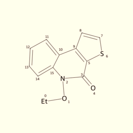 CCOn1c(=O)c2sccc2c2ccccc21